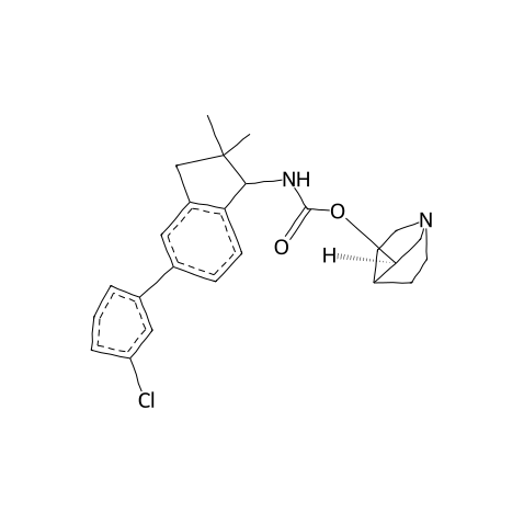 CC1(C)Cc2cc(-c3cccc(Cl)c3)ccc2C1NC(=O)O[C@H]1CN2CCC1CC2